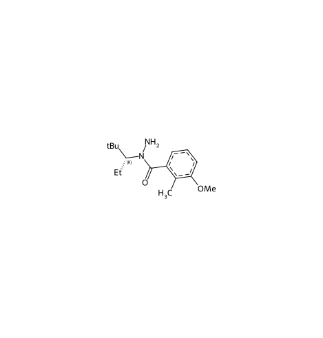 CC[C@@H](N(N)C(=O)c1cccc(OC)c1C)C(C)(C)C